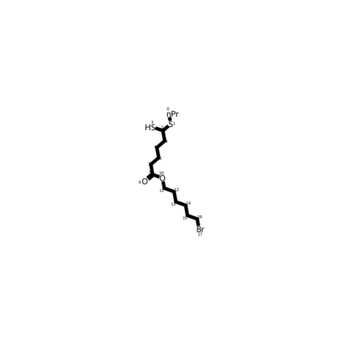 CCCSC(S)CCCCC(=O)OCCCCCCBr